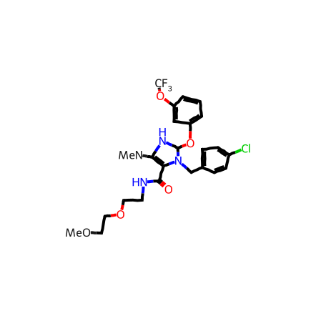 CNC1=C(C(=O)NCCOCCOC)N(Cc2ccc(Cl)cc2)C(Oc2cccc(OC(F)(F)F)c2)N1